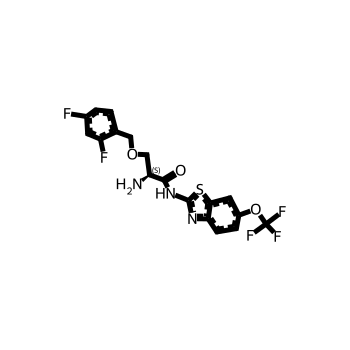 N[C@@H](COCc1ccc(F)cc1F)C(=O)Nc1nc2ccc(OC(F)(F)F)cc2s1